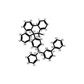 CC1(C)c2ccccc2-c2ccccc2C1(c1ccccc1)c1ccc(N(c2ccccc2)c2cccc(-c3ccccc3)c2)cc1